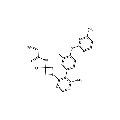 C=CC(=O)NC1(C)CN(c2ncnc(N)c2-c2ccc(Oc3nccc(C)n3)c(F)c2)C1